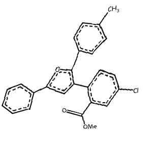 COC(=O)c1cc(Cl)ccc1-c1cc(-c2ccccc2)oc1-c1ccc(C)cc1